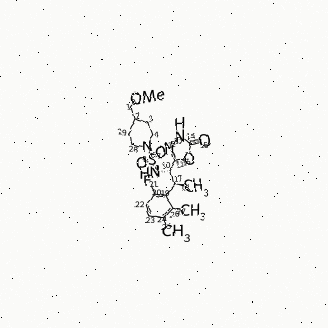 COCC1CCN(S(=O)(=O)N[C@H](c2n[nH]c(=O)o2)[C@@H](C)c2c(F)ccc(C)c2C)CC1